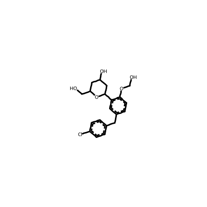 OCOc1ccc(Cc2ccc(Cl)cc2)cc1C1CC(O)CC(CO)O1